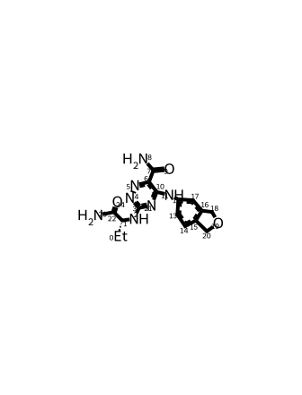 CC[C@@H](Nc1nnc(C(N)=O)c(Nc2ccc3c(c2)COC3)n1)C(N)=O